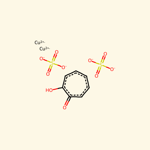 O=S(=O)([O-])[O-].O=S(=O)([O-])[O-].O=c1cccccc1O.[Cu+2].[Cu+2]